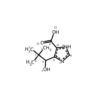 CC(C)(C)C(O)c1nc[nH]c1C(=O)O